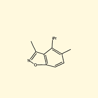 Cc1ccc2onc(C)c2c1C(C)C